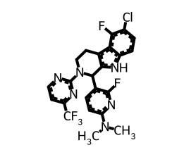 CN(C)c1ccc(C2c3[nH]c4ccc(Cl)c(F)c4c3CCN2c2nccc(C(F)(F)F)n2)c(F)n1